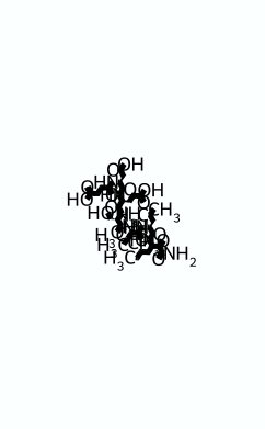 CCCCC(NC(=O)[C@H](CC(C)C)NC(=O)[C@@H](NC(=O)[C@H](CO)NC(=O)[C@H](CCC(=O)O)NC(=O)[C@H](CC(=O)O)NC(=O)CCC(=O)O)C(C)(C)C)C(=O)C(N)=O